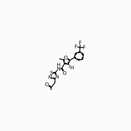 [2H]c1c(-c2cccc(C(F)(F)F)c2)oc(C)c1C(=O)Nc1nc(CC(C)=O)ns1